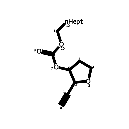 C#CC1OCCC1OC(=O)OCCCCCCCC